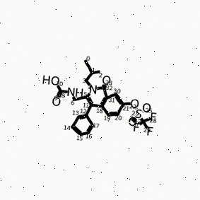 CC(C)Cn1c(CNC(=O)O)c(-c2ccccc2)c2ccc(OS(=O)(=O)C(F)(F)F)cc2c1=O